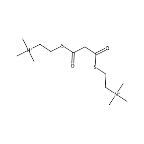 C[N+](C)(C)CCSC(=O)CC(=O)SCC[N+](C)(C)C